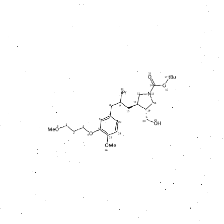 COCCCOc1cc(CC(C[C@H]2CN(C(=O)OC(C)(C)C)C[C@@H]2CO)C(C)C)ccc1OC